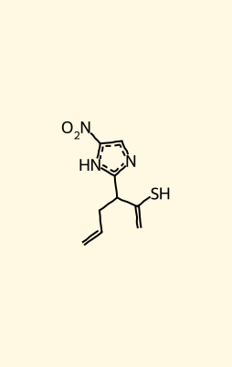 C=CCC(C(=C)S)c1ncc([N+](=O)[O-])[nH]1